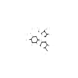 NC[C@H]1O[C@@H](OC2C[C@@H](O[C@@H]3C(N)C[C@@H](N)C(O)[C@H]3O)OC(CO)[C@H]2O)C(O)C1O